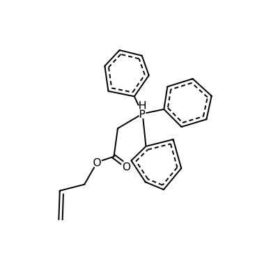 C=CCOC(=O)C[PH](c1ccccc1)(c1ccccc1)c1ccccc1